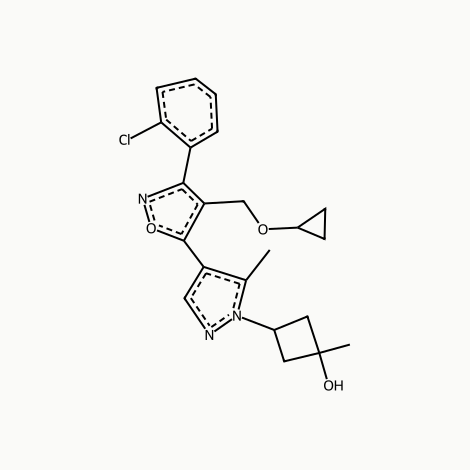 Cc1c(-c2onc(-c3ccccc3Cl)c2COC2CC2)cnn1C1CC(C)(O)C1